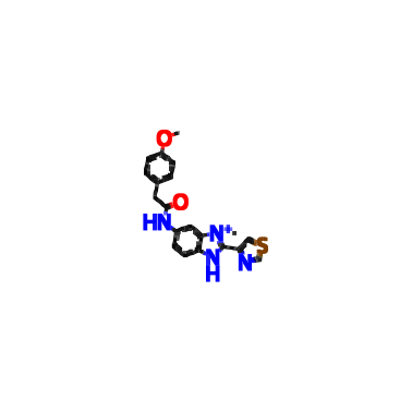 COc1ccc(CC(=O)Nc2ccc3c(c2)[N+]=C(c2cscn2)N3)cc1